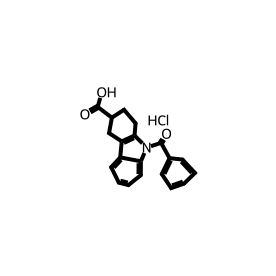 Cl.O=C(O)C1CCc2c(c3ccccc3n2C(=O)c2ccccc2)C1